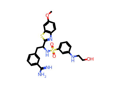 COc1ccc2nc(C(Cc3cccc(C(=N)N)c3)NS(=O)(=O)c3cccc(NCCO)c3)sc2c1